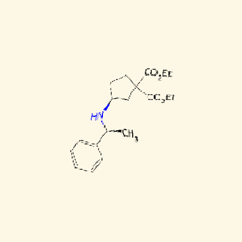 CCOC(=O)C1(C(=O)OCC)CC[C@H](N[C@@H](C)c2ccccc2)C1